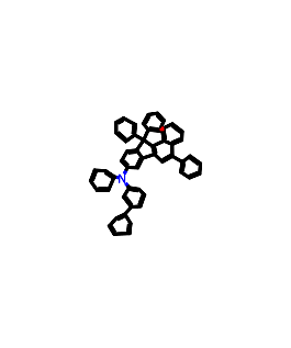 c1ccc(-c2cccc(N(c3ccccc3)c3ccc4c(c3)-c3cc(-c5ccccc5)c5ccccc5c3C4(c3ccccc3)c3ccccc3)c2)cc1